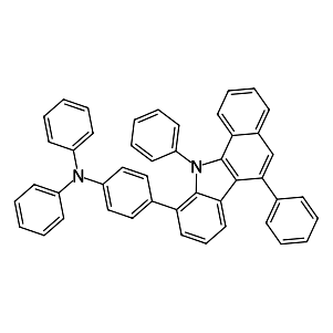 c1ccc(-c2cc3ccccc3c3c2c2cccc(-c4ccc(N(c5ccccc5)c5ccccc5)cc4)c2n3-c2ccccc2)cc1